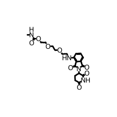 CNC(=O)OCCOCCOCCNc1cccc2c1C(=O)N(C1CCC(=O)NC1=O)C2=O